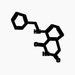 O=C1Cc2cccc(NCc3ccccc3)c2C(=O)N1